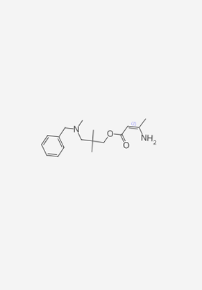 C/C(N)=C/C(=O)OCC(C)(C)CN(C)Cc1ccccc1